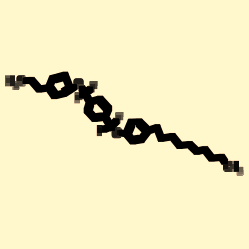 CCCCCCCCCCc1ccc(OC(F)(F)c2ccc(C(F)(F)Oc3ccc(CCC)cc3)cc2)cc1